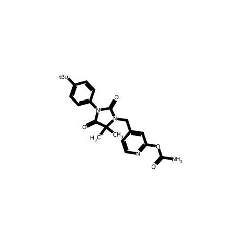 CC(C)(C)c1ccc(N2C(=O)N(Cc3ccnc(OC(N)=O)c3)C(C)(C)C2=O)cc1